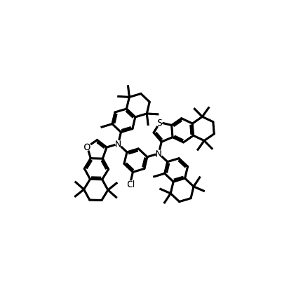 Cc1cc2c(cc1N(c1cc(Cl)cc(N(c3ccc4c(c3C)C(C)(C)CCC4(C)C)c3csc4cc5c(cc34)C(C)(C)CCC5(C)C)c1)c1coc3cc4c(cc13)C(C)(C)CCC4(C)C)C(C)(C)CCC2(C)C